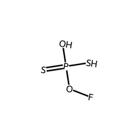 OP(=S)(S)OF